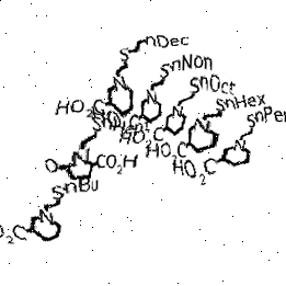 CCCCCCCCCCCCSCCN1CCCC(C(=O)O)C1.CCCCCCCCCSCCN1CCCC(C(=O)O)C1.CCCCCCCCSCCN1CCCC(C(=O)O)C1.CCCCCCCSCCN1C(=O)CCC1C(=O)O.CCCCCCSCCN1CCCC(C(=O)O)C1.CCCCCSCCN1CCCC(C(=O)O)C1.CCCCSCCN1CCCC(C(=O)O)C1